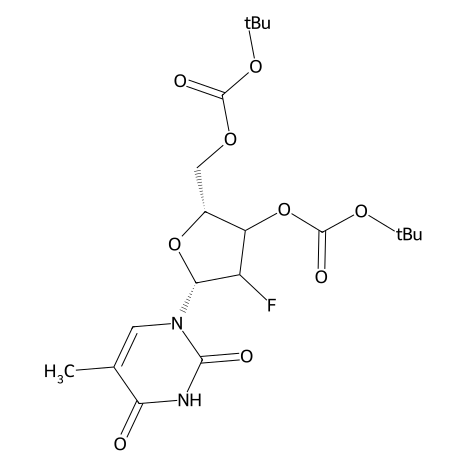 Cc1cn([C@@H]2O[C@H](COC(=O)OC(C)(C)C)C(OC(=O)OC(C)(C)C)C2F)c(=O)[nH]c1=O